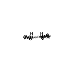 C=C(C)C(=O)OCCOC(=O)NCCCCCCCCCNC(=O)OCCOC(=O)C(=C)C